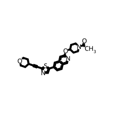 CC(=O)N1CCC(Oc2cc3cc(-c4cnc(C#CC5CCOCC5)s4)ccc3cn2)CC1